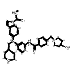 CNC(=O)n1ccc2cc(N(CC3CCOCC3)c3ccnc(NC(=O)c4ccc(CN5CCC(O)CC5)cc4)c3)ccc21